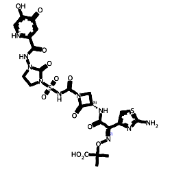 CC(C)(O/N=C(\C(=O)N[C@H]1CN(C(=O)NS(=O)(=O)N2CCN(NC(=O)c3cc(=O)c(O)c[nH]3)C2=O)C1=O)c1csc(N)n1)C(=O)O